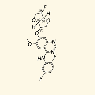 COc1cc2c(Nc3cc(F)ccc3F)ncnc2cc1O[C@@H]1CO[C@@H]2[C@H]1OC[C@H]2F